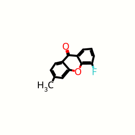 Cc1ccc2c(=O)c3cccc(F)c3oc2c1